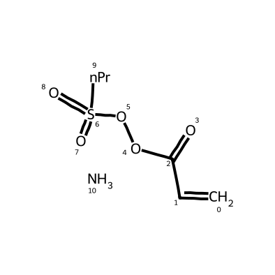 C=CC(=O)OOS(=O)(=O)CCC.N